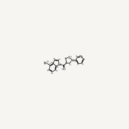 O=C(C1CSN(c2cccnc2)C1)n1ccc2c(Br)cccc21